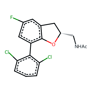 CC(=O)NC[C@H]1Cc2cc(F)cc(-c3c(Cl)cccc3Cl)c2O1